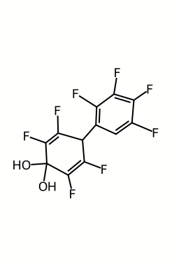 OC1(O)C(F)=C(F)C(c2cc(F)c(F)c(F)c2F)C(F)=C1F